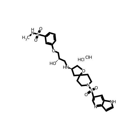 CNS(=O)(=O)c1cccc(OC[C@@H](O)CN[C@H]2COC3(CCN(S(=O)(=O)c4cnc5cc[nH]c5c4)CC3)C2)c1.Cl.Cl